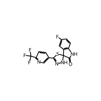 O=C1Nc2ccc(F)cc2C12NN=C(c1ccc(C(F)(F)F)nc1)S2